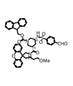 COCCCCC1(CNC(=O)[C@H]2C[C@@H](NS(=O)(=O)c3ccc(C=O)cc3)CN(C(=O)OCC3c4ccccc4-c4ccccc43)C2)c2ccccc2Oc2ccccc21